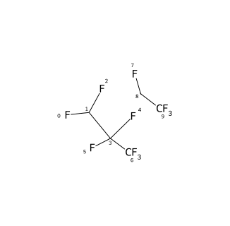 FC(F)C(F)(F)C(F)(F)F.FCC(F)(F)F